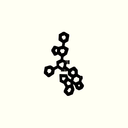 C1=Cc2c(C3=CC(c4ccccc4)NC(c4ccc5c(c4)C4(C6=C(CC=C6)c6ccccc64)c4ccccc4O5)N3)ccc(-c3ccccc3)c2C=1